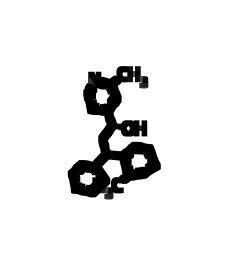 Cc1cc([C@H](O)CC(c2ccccc2)c2ccccc2C)ccn1